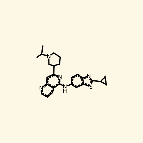 CC(C)N1CCCC(c2cc3ncccc3c(Nc3ccc4nc(C5CC5)sc4c3)n2)C1